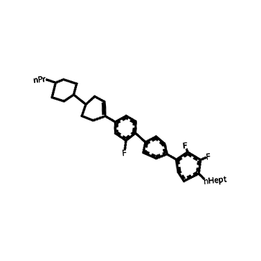 CCCCCCCc1ccc(-c2ccc(-c3ccc(C4=CCC(C5CCC(CCC)CC5)CC4)cc3F)cc2)c(F)c1F